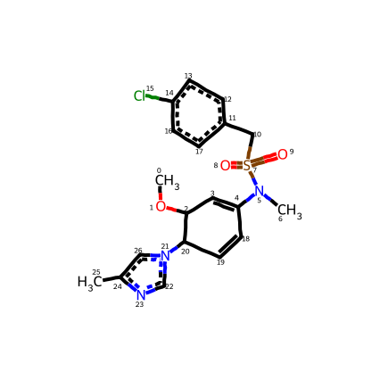 COC1C=C(N(C)S(=O)(=O)Cc2ccc(Cl)cc2)C=CC1n1cnc(C)c1